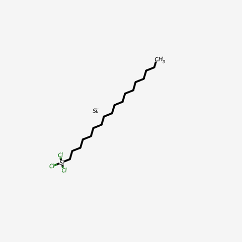 CCCCCCCCCCCCCCCCCC[Si](Cl)(Cl)Cl.[Si]